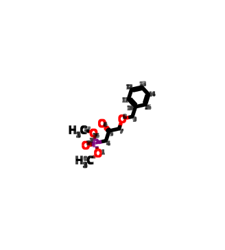 COP(=O)(CC(=O)COCc1ccccc1)OC